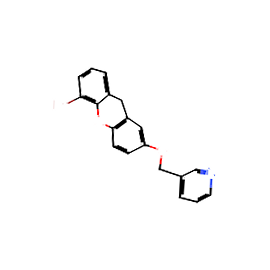 Brc1cccc2c1Oc1ccc(OCc3cccnc3)cc1C2